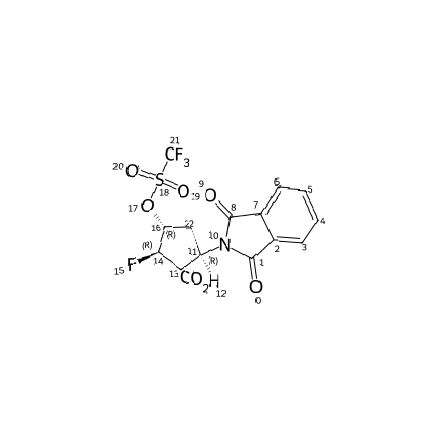 O=C1c2ccccc2C(=O)N1[C@@]1(C(=O)O)C[C@@H](F)[C@H](OS(=O)(=O)C(F)(F)F)C1